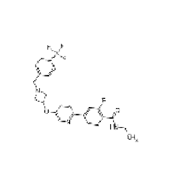 CCNC(=O)c1ccc(-c2ccc(OC3CN(Cc4ccc(C(F)(F)F)cc4)C3)cn2)cc1F